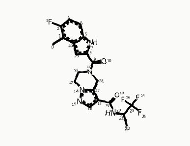 Cc1c(F)ccc2[nH]c(C(=O)N3CCn4ncc(C(=O)NC(C)C(F)(F)F)c4C3)cc12